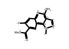 COC(=O)c1cc2c(cc1F)nc(N)c1cnn(C)c12